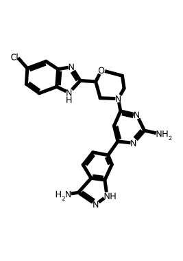 Nc1nc(-c2ccc3c(N)n[nH]c3c2)cc(N2CCOC(c3nc4cc(Cl)ccc4[nH]3)C2)n1